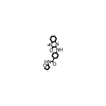 Cn1c(=O)c(Nc2ccc(C(=O)Nc3ccco3)cc2)nc2ccccc21